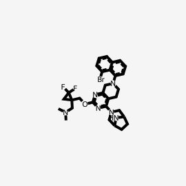 CN(C)CC1(COc2nc3c(c(N4CC5CCC(C4)N5)n2)CCN(c2cccc4cccc(Br)c24)C3)CC1(F)F